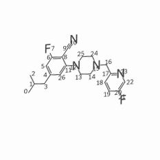 CC(C)Cc1cc(F)c(C#N)c(N2CCN(Cc3ccc(F)cn3)CC2)c1